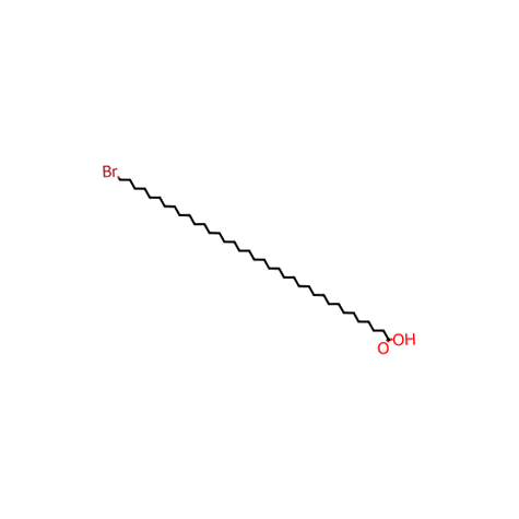 O=C(O)CCCCCCCCCCCCCCCCCCCCCCCCCCCCCCCCCCCCBr